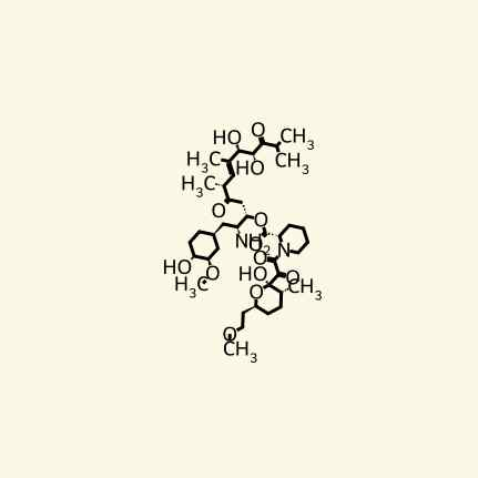 COCC[C@@H]1CC[C@@H](C)[C@](O)(C(=O)C(=O)N2CCCC[C@H]2C(=O)O[C@@H](CC(=O)[C@H](C)/C=C(\C)[C@@H](O)[C@@H](O)C(=O)C(C)C)[C@H](N)C[C@@H]2CC[C@@H](O)[C@H](OC)C2)O1